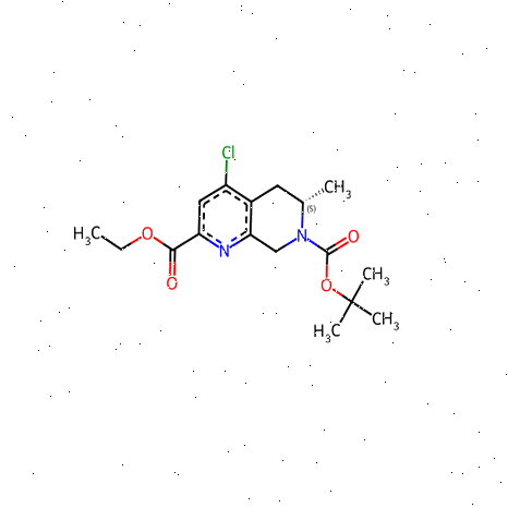 CCOC(=O)c1cc(Cl)c2c(n1)CN(C(=O)OC(C)(C)C)[C@@H](C)C2